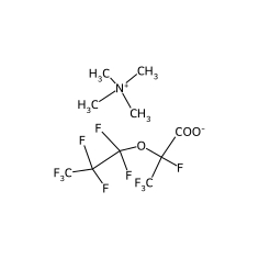 C[N+](C)(C)C.O=C([O-])C(F)(OC(F)(F)C(F)(F)C(F)(F)F)C(F)(F)F